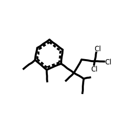 Cc1cccc(C(C)(CC(Cl)(Cl)Cl)C(C)C)c1C